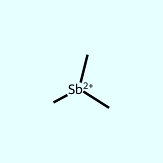 [CH3][Sb+2]([CH3])[CH3]